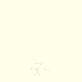 CC1CCC2CC1(OCCOCCOCCO)C2(C)C